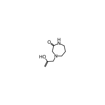 C=C(O)CN1CCCNC(=O)C1